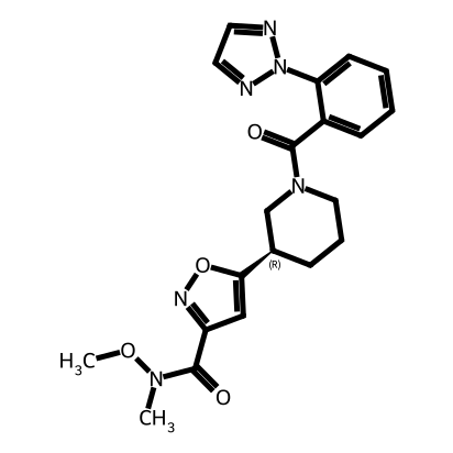 CON(C)C(=O)c1cc([C@@H]2CCCN(C(=O)c3ccccc3-n3nccn3)C2)on1